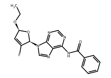 CCO[C@@H]1C=C(F)[C@H](n2cnc3c(NC(=O)c4ccccc4)ncnc32)O1